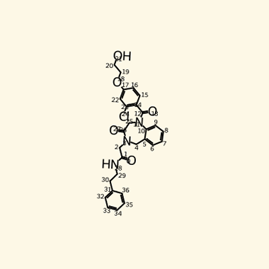 O=C(CN1Cc2ccccc2N(C(=O)c2ccc(OCCO)cc2Cl)CC1=O)NCCc1ccccc1